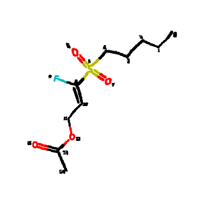 CCCCCS(=O)(=O)C(F)=CCOC(C)=O